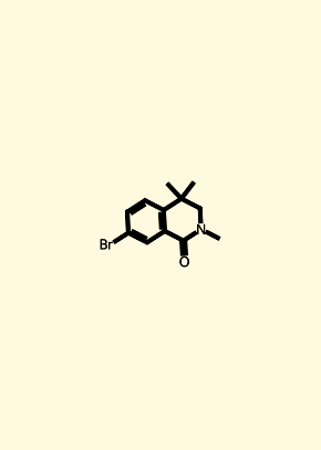 CN1CC(C)(C)c2ccc(Br)cc2C1=O